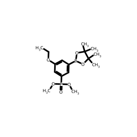 CCOc1cc(B2OC(C)(C)C(C)(C)O2)cc(P(=O)(OC)OC)c1